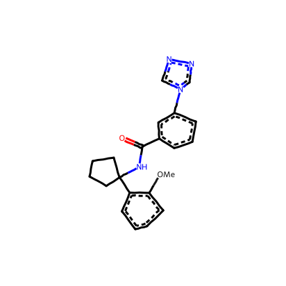 COc1ccccc1C1(NC(=O)c2cccc(-n3cnnc3)c2)CCCC1